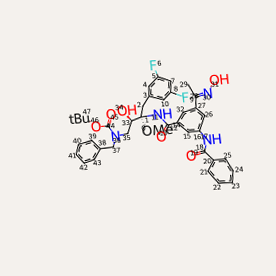 CO[C@](Cc1cc(F)cc(F)c1)(NC(=O)c1cc(NC(=O)c2ccccc2)cc(/C(C)=N/O)c1)[C@H](O)CN(Cc1ccccc1)C(=O)OC(C)(C)C